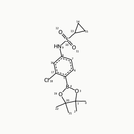 CC1(C)OB(c2ccc(NS(=O)(=O)C3CC3)cc2Cl)OC1(C)C